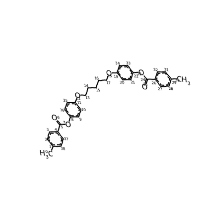 Cc1ccc(C(=O)Oc2ccc(OCCCCCOc3ccc(OC(=O)c4ccc(C)cc4)cc3)cc2)cc1